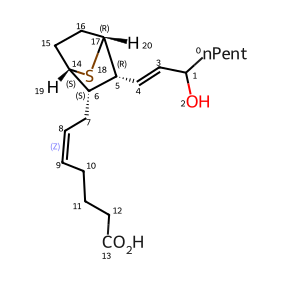 CCCCCC(O)C=C[C@@H]1[C@H](C/C=C\CCCC(=O)O)[C@@H]2CC[C@H]1S2